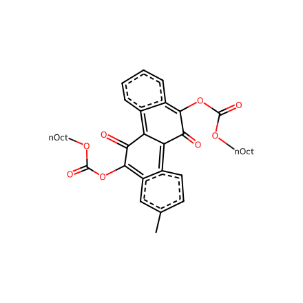 CCCCCCCCOC(=O)OC1=c2ccccc2=C2C(=O)C(OC(=O)OCCCCCCCC)=c3cc(C)ccc3=C2C1=O